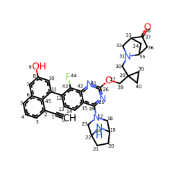 C#Cc1cccc2cc(O)cc(-c3ccc4c(N5CC6CCC(C5)N6)nc(OCC5(CN6CC7CC6CC7=O)CC5)nc4c3F)c12